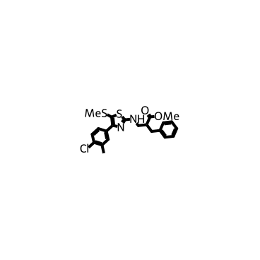 COC(=O)C(CNc1nc(-c2ccc(Cl)c(C)c2)c(SC)s1)Cc1ccccc1